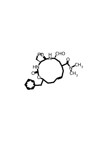 CC(C)C[C@@H]1NC(=O)OC(Cc2ccccc2)CC/C=C/CC(C(=O)N(C)C)C[C@H](C=O)NC1=O